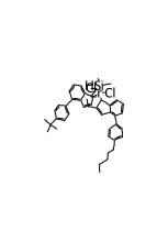 CCCCCc1ccc(-c2cccc3c2C=C(CC)[CH]3[Zr]([Cl])([Cl])([CH]2C=Cc3c(-c4ccc(C(C)(C)C)cc4)cccc32)[SiH](C)C)cc1